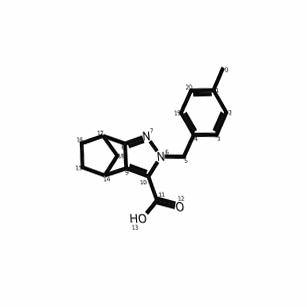 Cc1ccc(Cn2nc3c(c2C(=O)O)C2CCC3C2)cc1